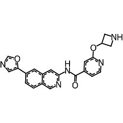 O=C(Nc1cc2cc(-c3cnco3)ccc2cn1)c1ccnc(OC2CNC2)c1